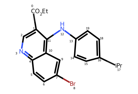 CCOC(=O)c1cnc2ccc(Br)cc2c1Nc1ccc(C(C)C)cc1